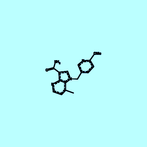 COc1ccc(Cn2cc(C(N)=O)c3nccc(C)c32)cn1